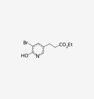 CCOC(=O)CCc1cnc(O)c(Br)c1